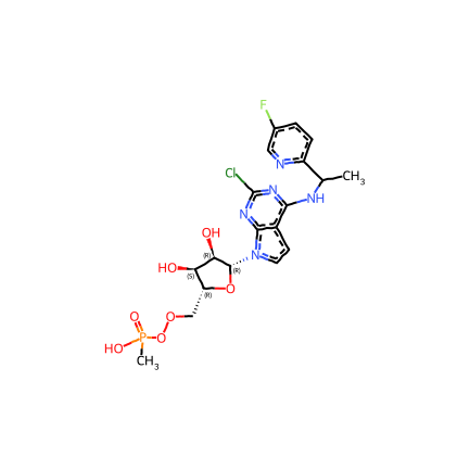 CC(Nc1nc(Cl)nc2c1ccn2[C@@H]1O[C@H](COOP(C)(=O)O)[C@@H](O)[C@H]1O)c1ccc(F)cn1